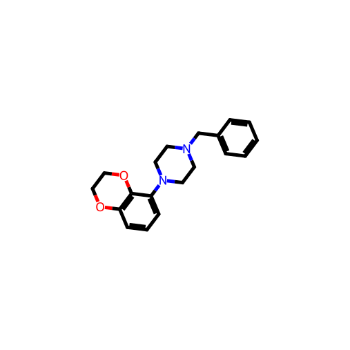 c1ccc(CN2CCN(c3cccc4c3OCCO4)CC2)cc1